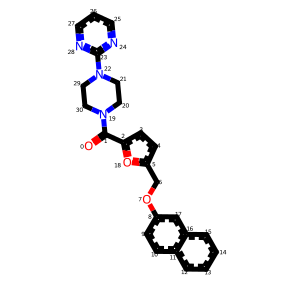 O=C(c1ccc(COc2ccc3ccccc3c2)o1)N1CCN(c2ncccn2)CC1